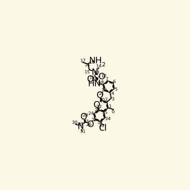 Cc1c(Cc2cccc(NS(=O)(=O)N(C)CC(C)N)c2)c(=O)oc2cc(OC(=O)N(C)C)c(Cl)cc12